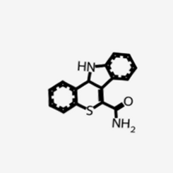 NC(=O)C1=C2c3ccccc3NC2c2ccccc2S1